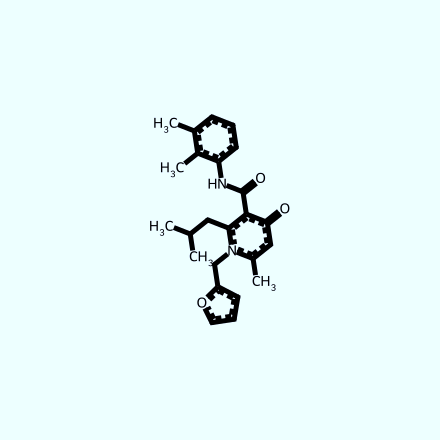 Cc1cccc(NC(=O)c2c(CC(C)C)n(Cc3ccco3)c(C)cc2=O)c1C